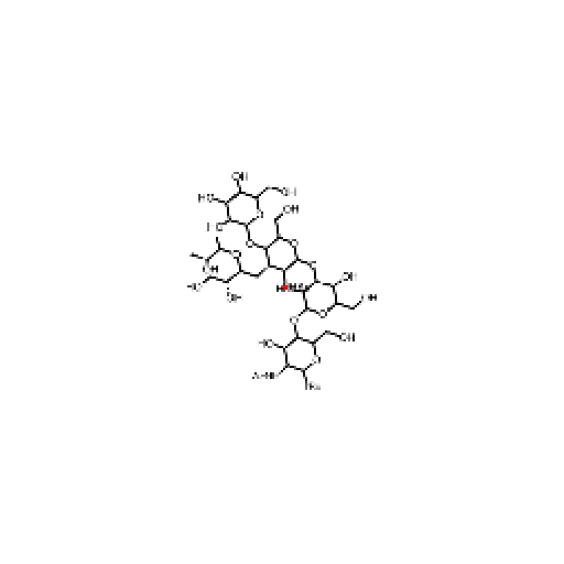 CC(=O)NC1C(O)C(OC2OC(CO)C(O)C(OC3OC(CO)C(OC4OC(CO)C(O)C(O)C4O)[C@H](CC(OC(C)[C@H](C)O)[C@H](O)CO)C3NC(C)=O)C2O)C(CO)OC1C(C)(C)C